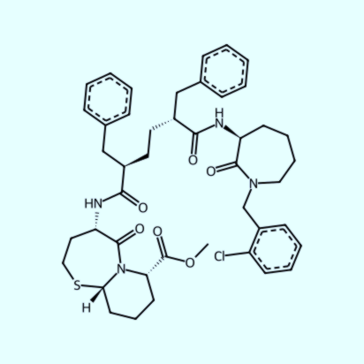 COC(=O)[C@@H]1CCC[C@@H]2SCC[C@H](NC(=O)[C@H](CC[C@H](Cc3ccccc3)C(=O)N[C@H]3CCCCN(Cc4ccccc4Cl)C3=O)Cc3ccccc3)C(=O)N21